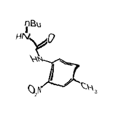 CCCCNC(=O)Nc1ccc(C)cc1[N+](=O)[O-]